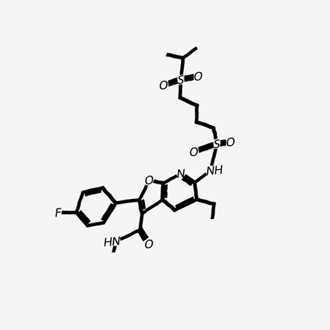 CCc1cc2c(C(=O)NC)c(-c3ccc(F)cc3)oc2nc1NS(=O)(=O)CCCCS(=O)(=O)C(C)C